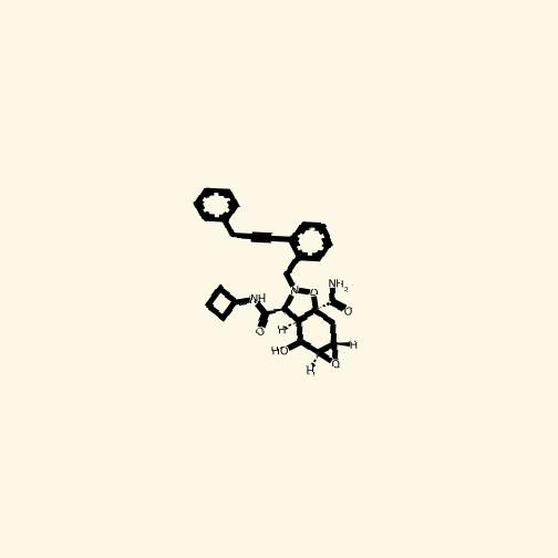 NC(=O)[C@]12C[C@@H]3O[C@H]3C(O)[C@H]1[C@@H](C(=O)NC1CCC1)N(Cc1ccccc1C#CCc1ccccc1)O2